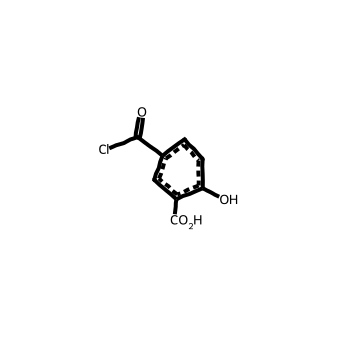 O=C(Cl)c1ccc(O)c(C(=O)O)c1